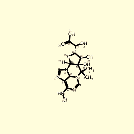 CC1(C)N2C=NC(NCl)=C3N=CN(C32)[C@@H]2O[C@H](C(O)C(=O)O)[C@@H](O)[C@@]21O